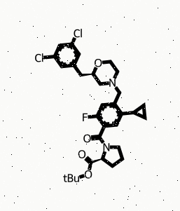 CC(C)(C)OC(=O)[C@@H]1CCCN1C(=O)c1cc(C2CC2)c(CN2CCO[C@H](Cc3cc(Cl)cc(Cl)c3)C2)cc1F